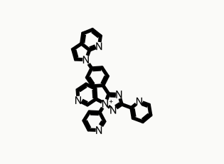 c1ccc(C2=N[N+](c3cccnc3)(c3cccnc3)C(c3ccc(-n4ccc5cccnc54)cc3)=N2)nc1